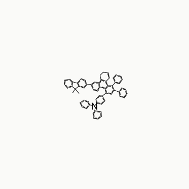 CC1(C)c2ccccc2-c2ccc(-c3ccc4c(c3)c3c(c5c(-c6ccccc6)c(-c6ccccc6)cc(-c6ccc(N(c7ccccc7)c7ccccc7)cc6)c54)C=CCC3)cc21